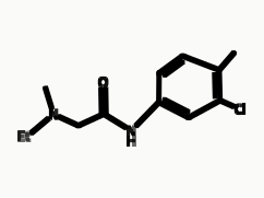 CCN(C)CC(=O)Nc1ccc(C)c(Cl)c1